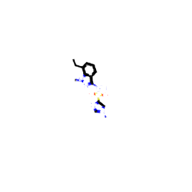 CCc1cccc2c(NS(=O)(=O)c3cn(C)cn3)nn(C)c12